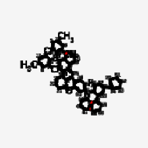 Cc1ccc(B(c2c(C)cc(C)cc2C)c2cc3c4cccc5c4c(cc3c3ccccc23)-c2ccc(N(c3ccccc3)c3c(F)cc(-c4ccccc4)cc3-c3ccccc3)cc2O5)c(C)c1